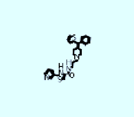 O=C(NCCCN1CCC(=C(c2ccccc2)c2cccs2)CC1)[C@@H]1CSC(c2cccnc2)N1